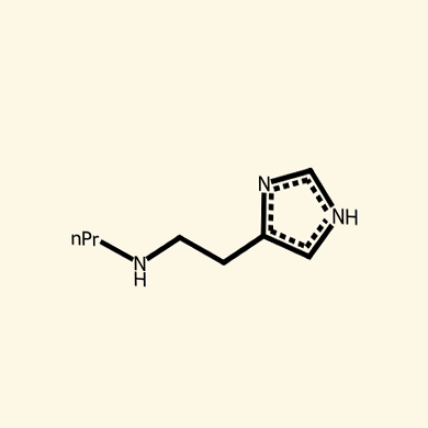 CCCNCCc1c[nH]cn1